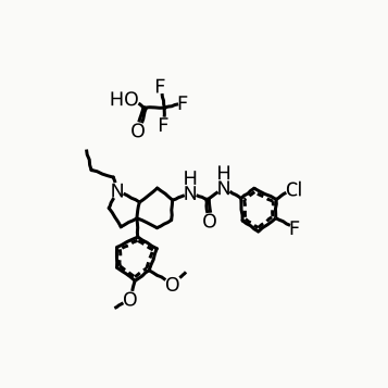 CCCN1CCC2(c3ccc(OC)c(OC)c3)CCC(NC(=O)Nc3ccc(F)c(Cl)c3)CC12.O=C(O)C(F)(F)F